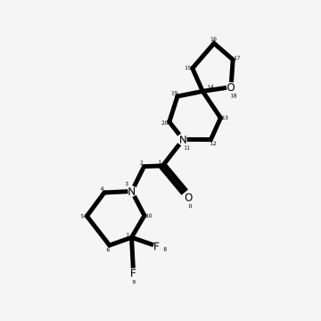 O=C(CN1CCCC(F)(F)C1)N1CCC2(CCCO2)CC1